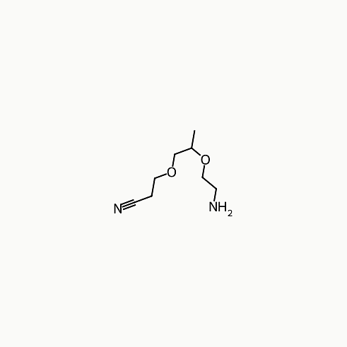 CC(COCCC#N)OCCN